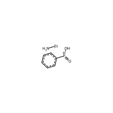 CCN.O=[PH](O)c1ccccc1